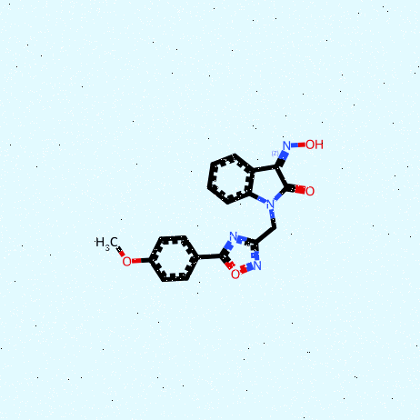 COc1ccc(-c2nc(CN3C(=O)/C(=N\O)c4ccccc43)no2)cc1